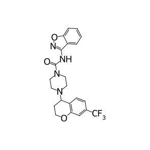 O=C(Nc1noc2ccccc12)N1CCN(C2CCOc3cc(C(F)(F)F)ccc32)CC1